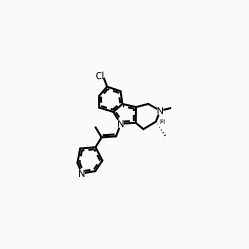 CC(=Cn1c2c(c3cc(Cl)ccc31)CN(C)[C@H](C)C2)c1ccncc1